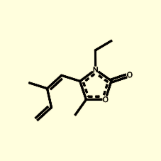 C=C/C(C)=C\c1c(C)oc(=O)n1CC